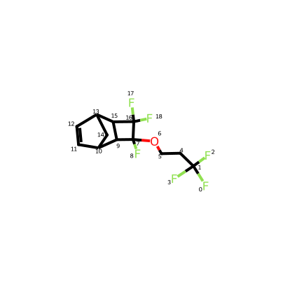 FC(F)(F)CCOC1(F)C2C3C=CC(C3)C2C1(F)F